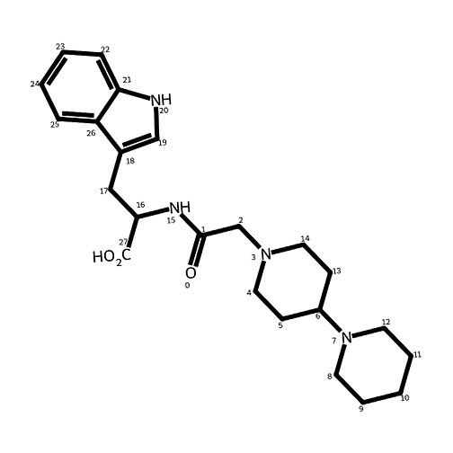 O=C(CN1CCC(N2CCCCC2)CC1)NC(Cc1c[nH]c2ccccc12)C(=O)O